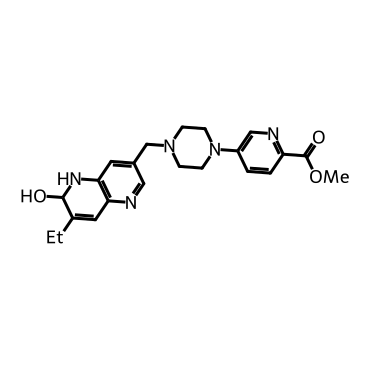 CCC1=Cc2ncc(CN3CCN(c4ccc(C(=O)OC)nc4)CC3)cc2NC1O